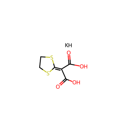 O=C(O)C(C(=O)O)=C1SCCS1.[KH]